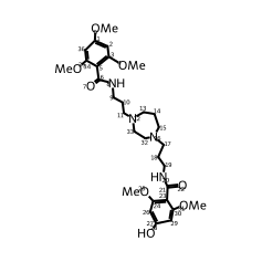 COc1cc(OC)c(C(=O)NCCCN2CCCN(CCCNC(=O)c3c(OC)cc(O)cc3OC)CC2)c(OC)c1